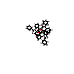 c1ccc(-c2nc3ccccc3n2-c2ccccc2-c2nc(-c3ccccc3-n3c(-c4ccccc4)nc4ccccc43)nc(-c3ccccc3-n3c(-c4ccccc4)nc4ccccc43)n2)cc1